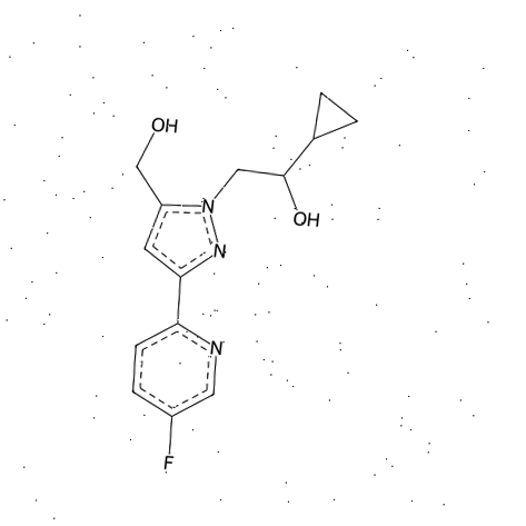 OCc1cc(-c2ccc(F)cn2)nn1CC(O)C1CC1